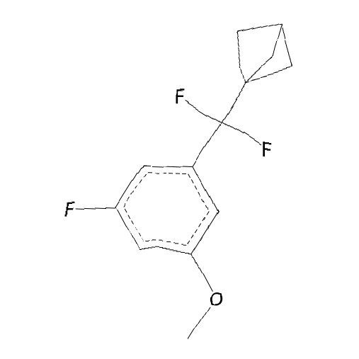 COc1cc(F)cc(C(F)(F)C23CC(C2)C3)c1